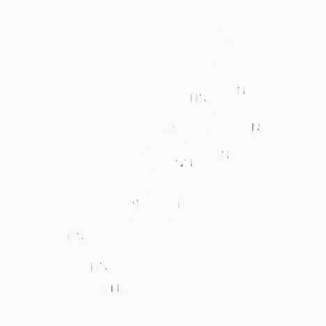 CN/C=C(\C=N)c1cccc(C2(NC(=O)c3ncnc4nc(C5CCCC5)[nH]c34)CC2)c1